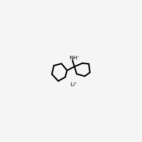 [Li+].[NH-]C1(C2CCCCC2)CCCCC1